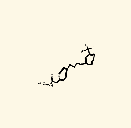 CNC(=O)Cc1ccc(CCCCc2cccc(C(F)(F)F)c2)cc1